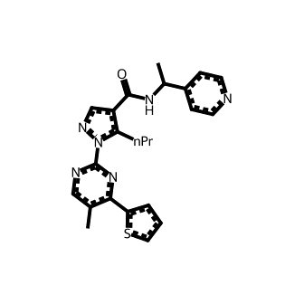 CCCc1c(C(=O)NC(C)c2ccncc2)cnn1-c1ncc(C)c(-c2cccs2)n1